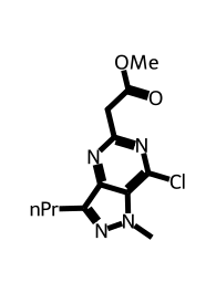 CCCc1nn(C)c2c(Cl)nc(CC(=O)OC)nc12